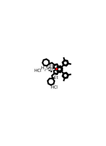 CCC1(CC2=Cc3c(-c4cc(C)cc(C)c4)cccc3[CH]2[Zr]([CH3])([CH3])(=[SiH2])[CH]2C(CC3(CC)CCCCCC3)=Cc3c(-c4cc(C)cc(C)c4)cccc32)CCCCCC1.Cl.Cl